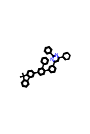 CC1(C)c2ccccc2-c2cc(-c3ccc(-c4cccc(-c5cc(C6=CCCC=C6)nc(-c6ccccc6)n5)c4)c(-c4ccccc4)c3)ccc21